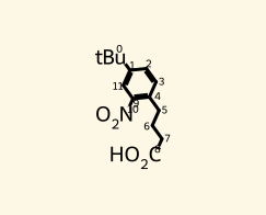 CC(C)(C)c1ccc(CCCC(=O)O)c([N+](=O)[O-])c1